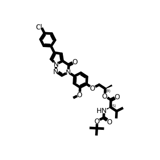 COc1cc(-n2cnn3cc(-c4ccc(Cl)cc4)cc3c2=O)ccc1OC[C@@H](C)OC(=O)[C@@H](NC(=O)OC(C)(C)C)C(C)C